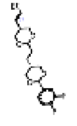 CC/C=C/C1COC(CC[C@H]2CO[C@H](c3ccc(F)c(F)c3)OC2)OC1